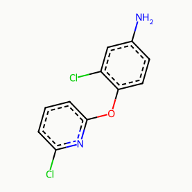 Nc1ccc(Oc2cccc(Cl)n2)c(Cl)c1